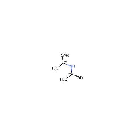 CS[C@@H](N[C@H](C)C(C)C)C(F)(F)F